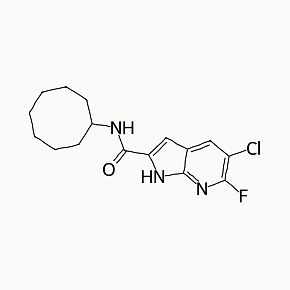 O=C(NC1CCCCCCC1)c1cc2cc(Cl)c(F)nc2[nH]1